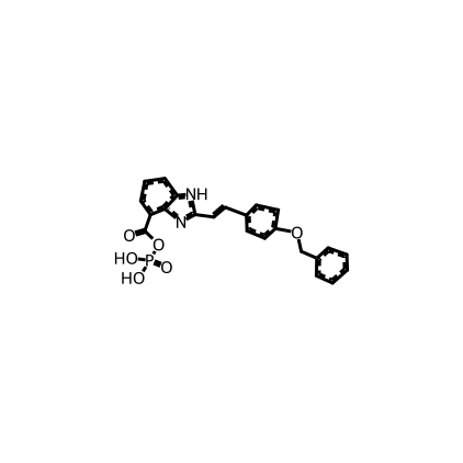 O=C(OP(=O)(O)O)c1cccc2[nH]c(/C=C/c3ccc(OCc4ccccc4)cc3)nc12